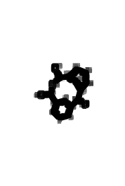 O=C1OC(=O)c2cccc(c2)C(=O)c2cccc1c2